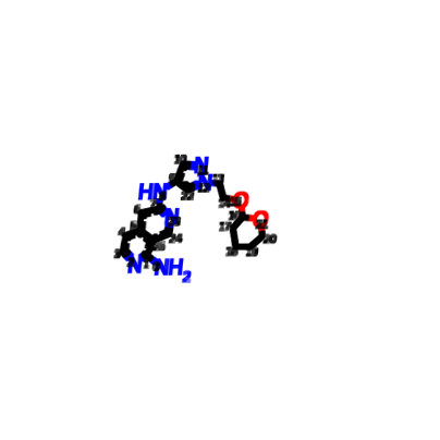 Nc1nccc2cc(Nc3cnn(CCOC4CCCCO4)c3)ncc12